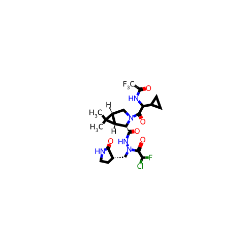 CC1(C)[C@@H]2[C@@H](C(=O)NN(C[C@@H]3CCNC3=O)C(=O)C(F)Cl)N(C(=O)C(NC(=O)C(F)(F)F)C3CC3)C[C@@H]21